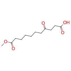 COC(=O)CCCCCCC(=O)CCC(=O)O